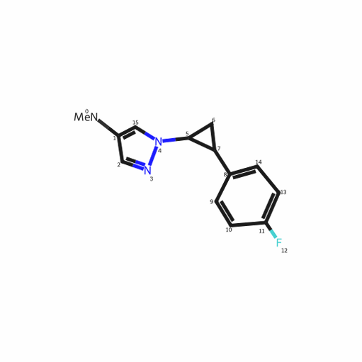 CNc1cnn(C2CC2c2ccc(F)cc2)c1